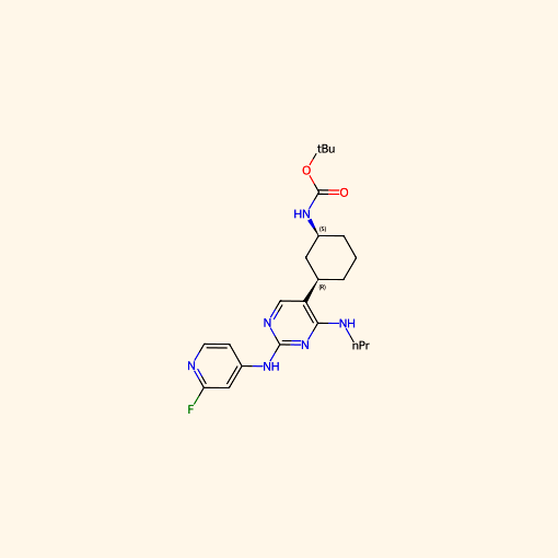 CCCNc1nc(Nc2ccnc(F)c2)ncc1[C@@H]1CCC[C@H](NC(=O)OC(C)(C)C)C1